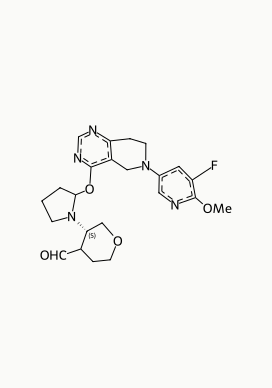 COc1ncc(N2CCc3ncnc(OC4CCCN4[C@@H]4COCCC4C=O)c3C2)cc1F